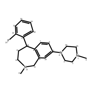 CN1CCN(c2ccc3c(c2)CN(C)CCC3c2ccccc2F)CC1